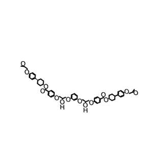 O=C(OC1CCC(c2ccc(OCC3CO3)cc2)CC1)c1ccc(OCC(O)COc2cccc(OCC(O)COc3ccc(C(=O)O[C@H]4CC[C@H](c5ccc(OCC6CO6)cc5)CC4)cc3)c2)cc1